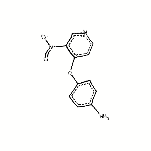 Nc1ccc(Oc2ccncc2[N+](=O)[O-])cc1